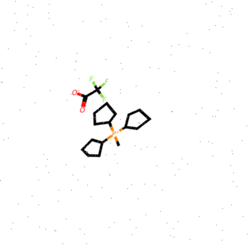 C[P+](C1CCCC1)(C1CCCC1)C1CCCC1.O=C([O-])C(F)(F)F